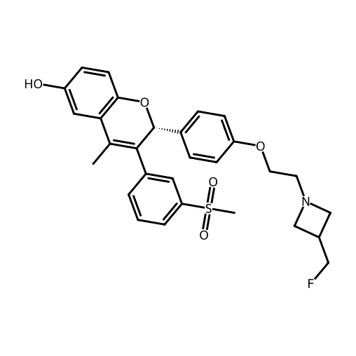 CC1=C(c2cccc(S(C)(=O)=O)c2)[C@@H](c2ccc(OCCN3CC(CF)C3)cc2)Oc2ccc(O)cc21